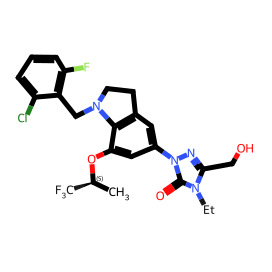 CCn1c(CO)nn(-c2cc3c(c(O[C@@H](C)C(F)(F)F)c2)N(Cc2c(F)cccc2Cl)CC3)c1=O